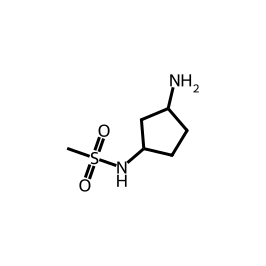 CS(=O)(=O)NC1CCC(N)C1